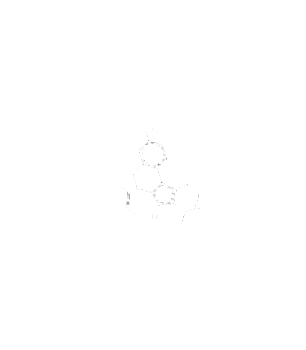 CCCCc1ccc2c(c1)CCc1cc3n(c1-2)CCNC3C.O=C(O)/C=C/C(=O)O